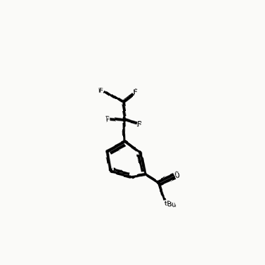 CC(C)(C)C(=O)c1cccc(C(F)(F)C(F)F)c1